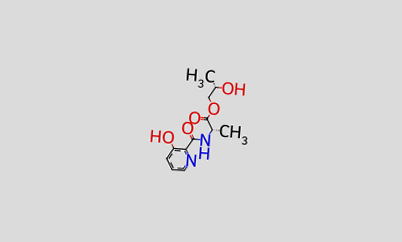 C[C@H](O)COC(=O)[C@H](C)NC(=O)c1ncccc1O